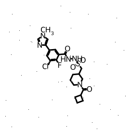 Cn1cnc(-c2cc(Cl)c(F)c(C(=O)NNS(=O)(=O)CC3CCCN(C(=O)C4CCC4)C3)c2)c1